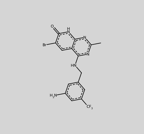 Cc1nc(NCc2cc(N)cc(C(F)(F)F)c2)c2cc(Br)c(=O)[nH]c2n1